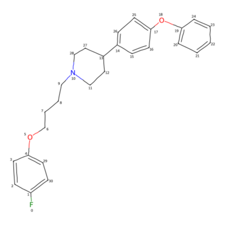 Fc1ccc(OCCCCN2CCC(c3ccc(Oc4ccccc4)cc3)CC2)cc1